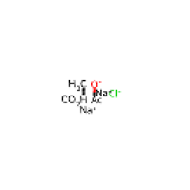 CC(=O)O.CC(=O)[O-].[Cl-].[Na+].[Na+]